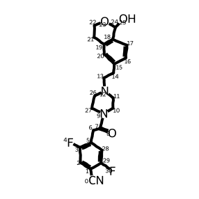 N#Cc1cc(F)c(CC(=O)N2CCN(CCc3ccc4c(c3)CCOC4O)CC2)cc1F